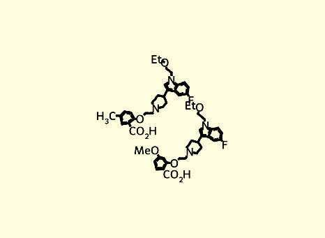 CCOCCn1cc(C2CCN(CCOc3cc(OC)ccc3C(=O)O)CC2)c2cc(F)ccc21.CCOCCn1cc(C2CCN(CCOc3ccc(C)cc3C(=O)O)CC2)c2cc(F)ccc21